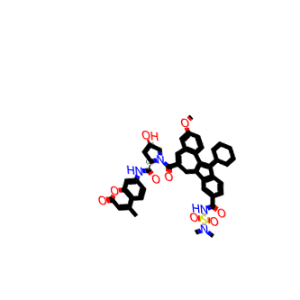 COc1ccc2c(c1)C=C(C(=O)N1C[C@H](O)C[C@H]1C(=O)Nc1ccc3c(C)cc(=O)oc3c1)CC1C2=C(C2CCCCC2)c2ccc(C(=O)NS(=O)(=O)N(C)C)cc21